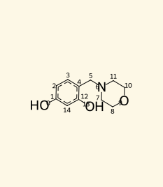 Oc1ccc(CN2CCOCC2)c(O)c1